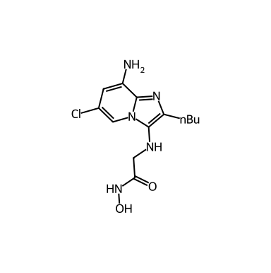 CCCCc1nc2c(N)cc(Cl)cn2c1NCC(=O)NO